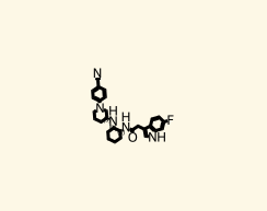 N#Cc1ccc(N2CCC[C@H](N[C@@H]3CCCC[C@H]3NC(=O)Cc3c[nH]c4cc(F)ccc34)C2)cc1